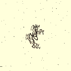 CCCS(=O)(=O)C(NC(=O)Nc1cnc2[nH]ccc2n1)C1CCCN1